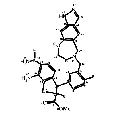 COC(=O)C(C)(C)C(c1ccc(C)c(CN2CCOc3cc4[nH]ncc4cc3C2)c1)c1ccc(N(C)N)c(N)c1C